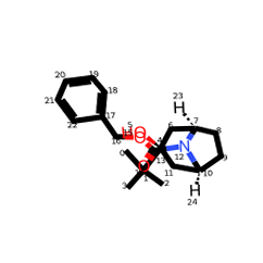 CC(C)(C)[C@]1(O)C[C@H]2CC[C@@H](C1)N2C(=O)OCc1ccccc1